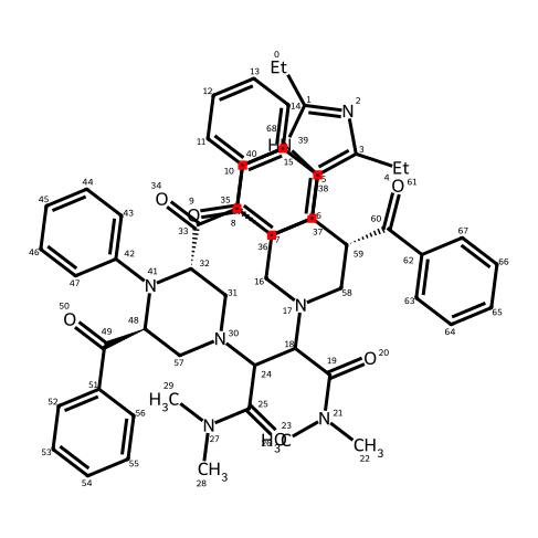 CCc1nc(CC)c(C2[C@@H](C(=O)c3ccccc3)CN(C(C(=O)N(C)C)C(C(=O)N(C)C)N3C[C@@H](C(=O)c4ccccc4)N(c4ccccc4)[C@H](C(=O)c4ccccc4)C3)C[C@H]2C(=O)c2ccccc2)[nH]1